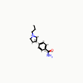 CCCN1CC[C@@H](c2ccc(C(N)=O)cc2)C1